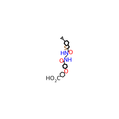 O=C(NCCNC(=O)c1cc2ccc(C3CC3)cc2s1)c1ccc(O[C@H]2CC[C@@H](C(=O)O)CC2)cc1